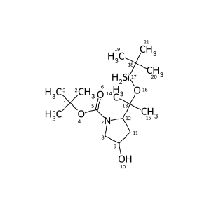 CC(C)(C)OC(=O)N1CC(O)CC1C(C)(C)O[SiH2]C(C)(C)C